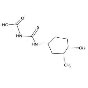 C[C@@H]1C[C@H](NC(=S)NC(=O)O)CC[C@@H]1O